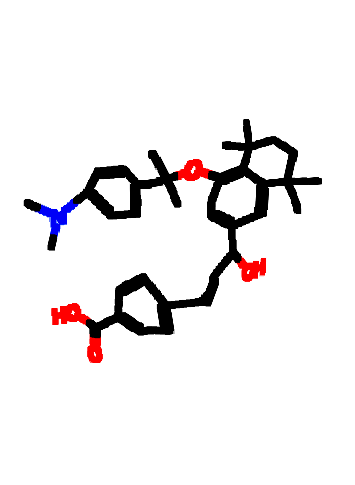 CN(C)c1ccc(C(C)(C)Oc2cc(C(O)/C=C/c3ccc(C(=O)O)cc3)cc3c2C(C)(C)CCC3(C)C)cc1